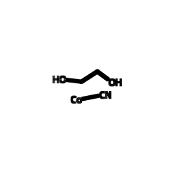 N#[C][Co].OCCO